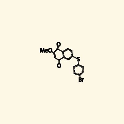 COC1=CC(=O)c2cc(Sc3ccc(Br)cc3)ccc2C1=O